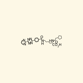 O=C(CC1CCCC1)NC(CCCCNC(=O)c1ccc(-c2nnc(-c3ncccn3)nn2)cc1)C(=O)O